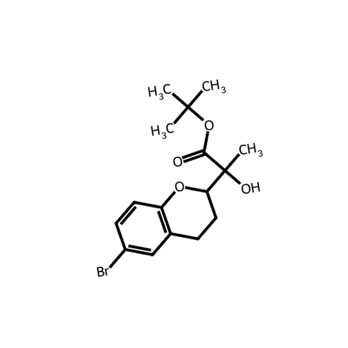 CC(C)(C)OC(=O)C(C)(O)C1CCc2cc(Br)ccc2O1